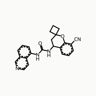 N#Cc1cccc2c1OC1(CCC1)CC2NC(=O)Nc1cccc2cnccc12